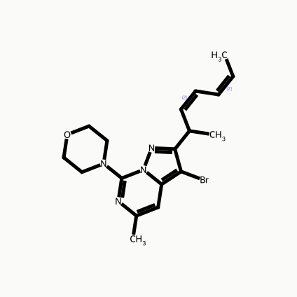 C/C=C\C=C/C(C)c1nn2c(N3CCOCC3)nc(C)cc2c1Br